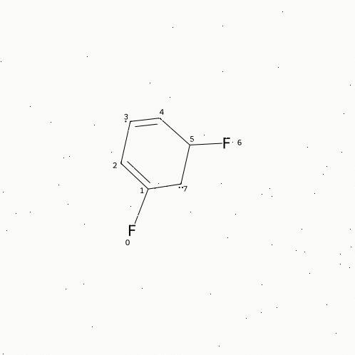 FC1=C[C]=CC(F)[C]1